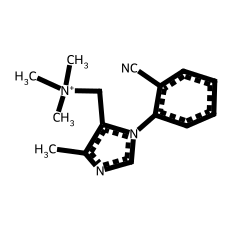 Cc1ncn(-c2ccccc2C#N)c1C[N+](C)(C)C